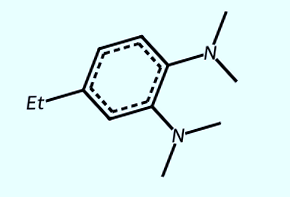 CCc1ccc(N(C)C)c(N(C)C)c1